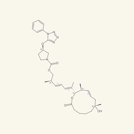 C/C(=C\C=C\[C@@H](C)COC(=O)N1CC[C@@H](Oc2nnnn2-c2ccccc2)C1)[C@H]1OC(=O)CCCC[C@@](C)(O)C/C=C/[C@@H]1C